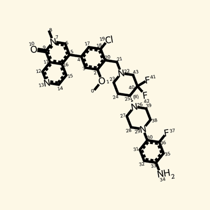 COc1cc(-c2cn(C)c(=O)c3cnccc23)cc(Cl)c1CN1CC[C@@H](N2CCN(c3ccc(N)cc3F)CC2)C(F)(F)C1